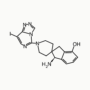 N[C@@H]1c2cccc(O)c2CC12CCN(c1ncc(I)c3nncn13)CC2